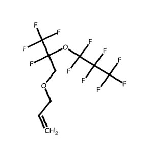 C=CCOCC(F)(OC(F)(F)C(F)(F)C(F)(F)F)C(F)(F)F